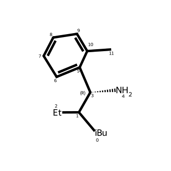 CCC(C)C(CC)[C@@H](N)c1ccccc1C